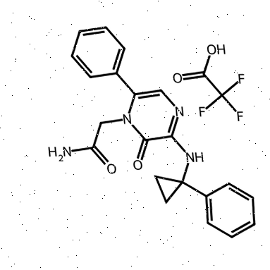 NC(=O)Cn1c(-c2ccccc2)cnc(NC2(c3ccccc3)CC2)c1=O.O=C(O)C(F)(F)F